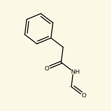 O=[C]NC(=O)Cc1ccccc1